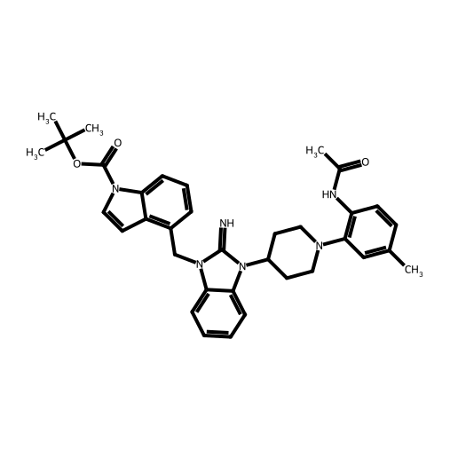 CC(=O)Nc1ccc(C)cc1N1CCC(n2c(=N)n(Cc3cccc4c3ccn4C(=O)OC(C)(C)C)c3ccccc32)CC1